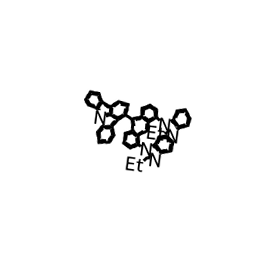 CCc1nc2ccccc2n1-c1cccc2c(-c3ccc4c5ccccc5n5c6ccccc6c3c45)c3cccc(-n4c(CC)nc5ccccc54)c3cc12